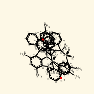 Cc1ccc(S(=O)(=O)N(c2c3c(C)cc(N)c2S(=O)(=O)C2(c4ccccc4)c4c(C)cc(N)c(c4N)S(=O)(=O)[C@@](N)(c4ccccc4)[C@](N)(c4ccccc4)C2(c2ccccc2)C(c2ccccc2)C3c2ccccc2)S(=O)(=O)c2ccc(C)cc2)cc1